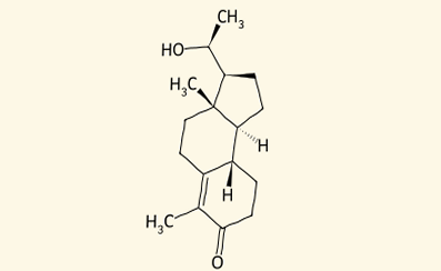 CC1=C2CC[C@]3(C)[C@@H]([C@H](C)O)CC[C@H]3[C@@H]2CCC1=O